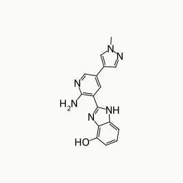 Cn1cc(-c2cnc(N)c(-c3nc4c(O)cccc4[nH]3)c2)cn1